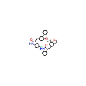 COc1ccc(/C=C2/C(=O)Nc3ccc(Cl)cc32)cc1-c1ccccc1.O=C1Nc2ccccc2/C1=C/c1ccc2c(c1)CCO2